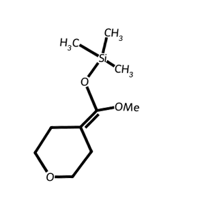 COC(O[Si](C)(C)C)=C1CCOCC1